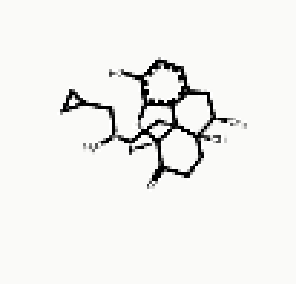 C[C@@H]1Cc2ccc(O)c3c2[C@@]2(CCN(C)CC4CC4)[C@@H](O3)C(=O)CC[C@@]12O